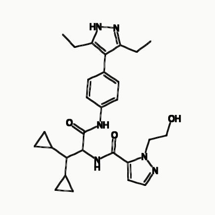 CCc1n[nH]c(CC)c1-c1ccc(NC(=O)C(NC(=O)c2ccnn2CCO)C(C2CC2)C2CC2)cc1